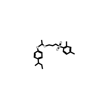 CCC(C)c1ccc(OC(C)OCCCS(=O)(=O)c2ccc(C)cc2C)cc1